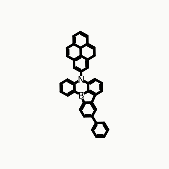 C1=CC2=CCc3cc(N4c5ccccc5B5c6ccc(-c7ccccc7)cc6-c6cccc4c65)cc4c3C2C(=C1)C=C4